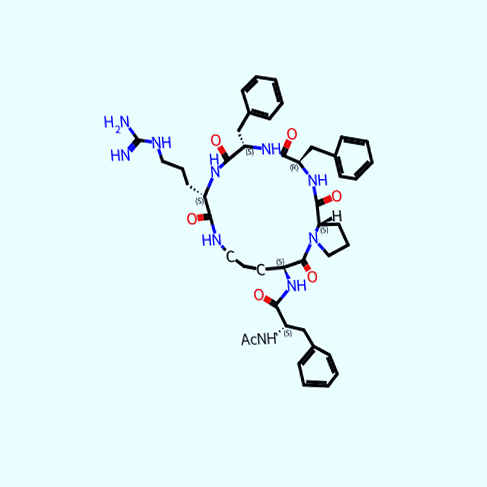 CC(=O)N[C@@H](Cc1ccccc1)C(=O)N[C@H]1CCCNC(=O)[C@H](CCCNC(=N)N)NC(=O)[C@H](Cc2ccccc2)NC(=O)[C@@H](Cc2ccccc2)NC(=O)[C@@H]2CCCN2C1=O